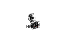 CCOC(=O)c1c(-c2ccc(C(=O)Nc3cc(CC)ccn3)cc2)nc([C@@H]2CCCCN2C(=O)O)n1NC(=O)C(F)(F)F